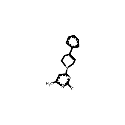 Cc1cc(N2CC=C(c3ccccc3)CC2)nc(Cl)n1